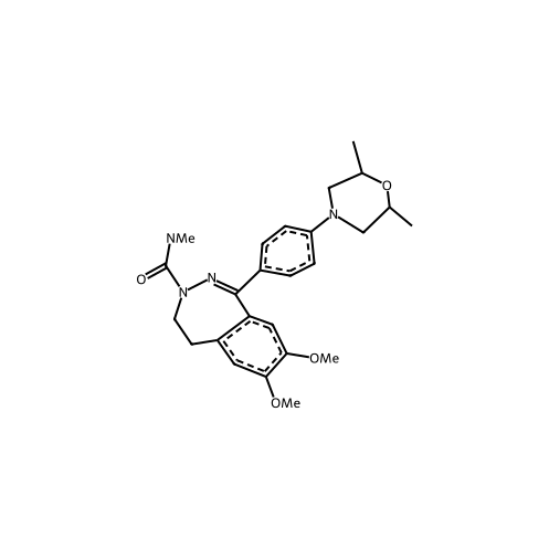 CNC(=O)N1CCc2cc(OC)c(OC)cc2C(c2ccc(N3CC(C)OC(C)C3)cc2)=N1